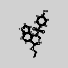 CCOC(=O)c1cnc2sccc2c1N(C)S(=O)(=O)c1ccc(F)cc1